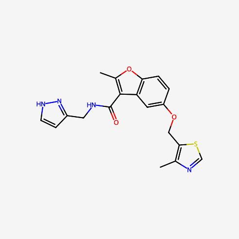 Cc1ncsc1COc1ccc2oc(C)c(C(=O)NCc3cc[nH]n3)c2c1